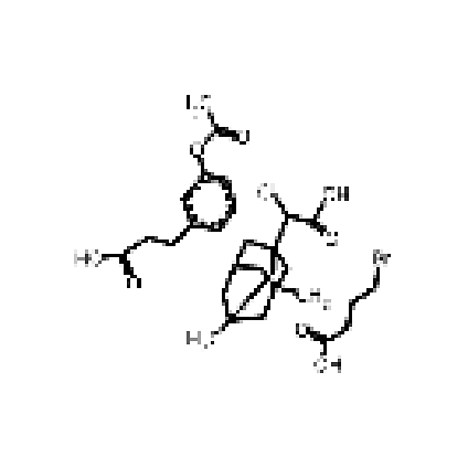 CC(=O)Oc1cccc(CCC(=O)O)c1.CC12CC3CC(C)(C1)CC(C(Cl)C(=O)O)(C3)C2.O=C(O)CCCBr